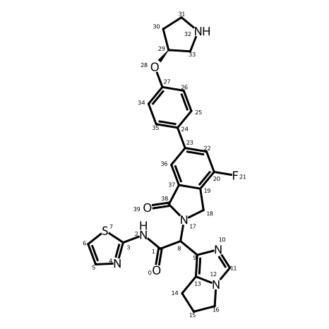 O=C(Nc1nccs1)C(c1ncn2c1CCC2)N1Cc2c(F)cc(-c3ccc(O[C@H]4CCNC4)cc3)cc2C1=O